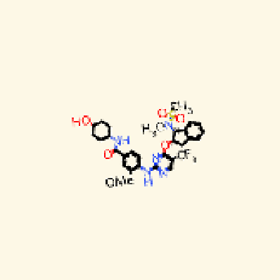 COc1cc(C(=O)N[C@H]2CC[C@H](O)CC2)ccc1Nc1ncc(C(F)(F)F)c(O[C@@H]2Cc3ccccc3[C@H]2N(C)S(C)(=O)=O)n1